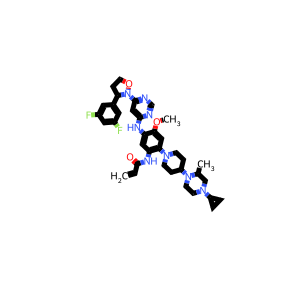 C=CC(=O)Nc1cc(Nc2cc(N3OCCC3c3cc(F)cc(F)c3)ncn2)c(OC)cc1N1CCC(N2CCN(C3CC3)CC2C)CC1